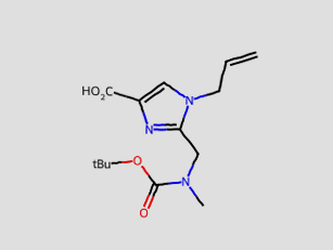 C=CCn1cc(C(=O)O)nc1CN(C)C(=O)OC(C)(C)C